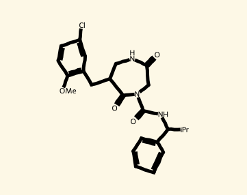 COc1ccc(Cl)cc1CC1CNC(=O)CN(C(=O)NC(c2ccccc2)C(C)C)C1=O